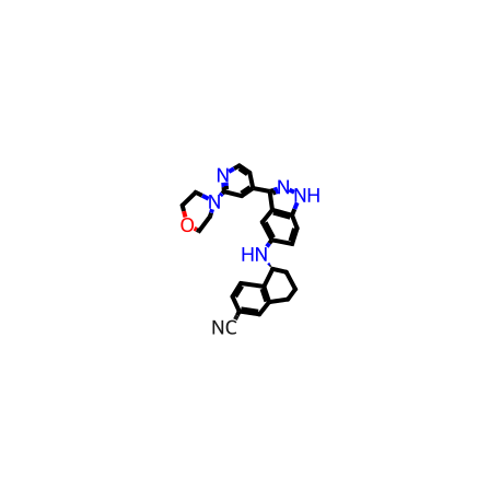 N#Cc1ccc2c(c1)CCC[C@H]2Nc1ccc2[nH]nc(-c3ccnc(N4CCOCC4)c3)c2c1